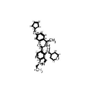 CCn1ncc2c(NC3CCOCC3)c(C(=O)NC(C)c3ccc(OC4CCCC4)cc3)cnc21